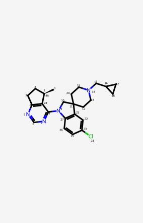 C[C@@H]1CCc2ncnc(N3CC4(CCN(CC5CC5)CC4)c4cc(Cl)ccc43)c21